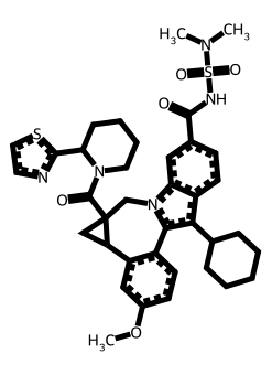 COc1ccc2c(c1)C1CC1(C(=O)N1CCCCC1c1nccs1)Cn1c-2c(C2CCCCC2)c2ccc(C(=O)NS(=O)(=O)N(C)C)cc21